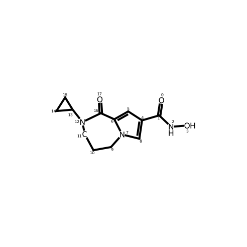 O=C(NO)c1cc2n(c1)CCCN(C1CC1)C2=O